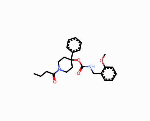 CCCC(=O)N1CCC(OC(=O)NCc2ccccc2OC)(c2ccccc2)CC1